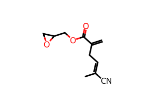 C=C(CC=C(C)C#N)C(=O)OCC1CO1